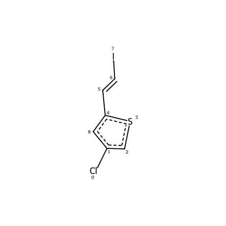 Clc1csc(/C=C/I)c1